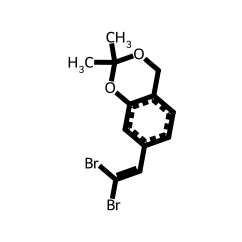 CC1(C)OCc2ccc(C=C(Br)Br)cc2O1